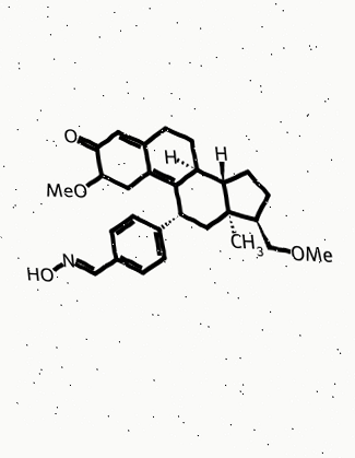 COC[C@@H]1CC[C@H]2[C@@H]3CCC4=CC(=O)C(OC)CC4=C3[C@@H](c3ccc(C=NO)cc3)C[C@]12C